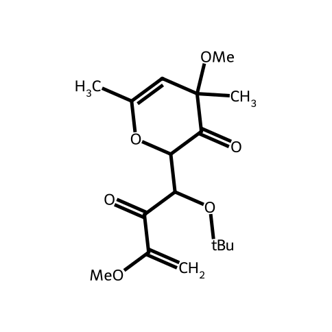 C=C(OC)C(=O)C(OC(C)(C)C)C1OC(C)=CC(C)(OC)C1=O